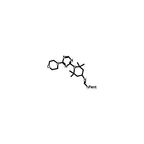 [CH2]CCCCC=NC1CC(C)(C)N(c2n[c]nc(N3CCOCC3)n2)C(C)(C)C1